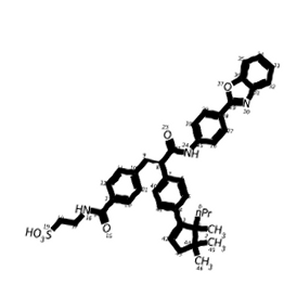 CCCC1(C)C(c2ccc([C@@H](Cc3ccc(C(=O)NCCS(=O)(=O)O)cc3)C(=O)Nc3ccc(-c4nc5ccccc5o4)cc3)cc2)=CCC1(C)C